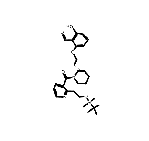 CC(C)(C)[Si](C)(C)OCCc1ncccc1C(=O)N1CCCC[C@H]1CCOc1cccc(O)c1C=O